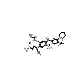 C=CC(=O)Nc1cc(Nc2ncc(C(F)(F)F)c(N3CCCCC3)n2)c(OC)cc1N(C)CCN(C)C